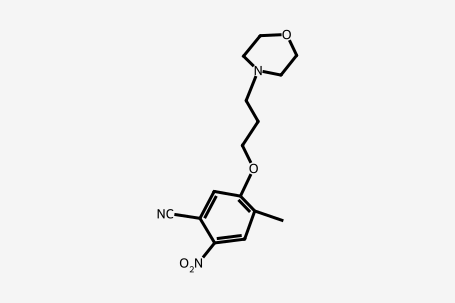 Cc1cc([N+](=O)[O-])c(C#N)cc1OCCCN1CCOCC1